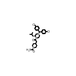 CC(C)C[C@H]1CN(C(c2ccc(Cl)cc2)c2ccc(Cl)cc2)CCN1C(=O)CC1CCN(C(N)=O)CC1